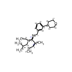 C=N/C=C(C)\C(=N/Cc1cccc(N2CCOCC2)c1)N(CC)CC(C)C